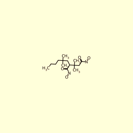 CCCCC(C)(C)CC(C(=O)N=O)C(C)(C)CC(=O)N=O